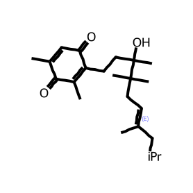 CC1=CC(=O)C(CCC(C)(O)C(C)(C)C/C=C(\C)CC(C)C)=C(C)C1=O